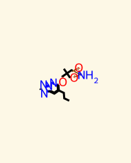 CCCc1cc2ncnn2nc1OCC(C)(C)CS(N)(=O)=O